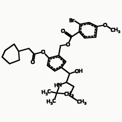 CCCC(NC(C)(C)C)C(O)c1ccc(OC(=O)CC2CCCCC2)c(COC(=O)c2ccc(OC)cc2Br)c1